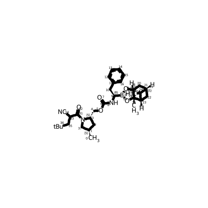 C[C@H]1C[C@@H](COC(=O)N[C@@H](Cc2ccccc2)B2O[C@@H]3C[C@@H]4C[C@@H](C4(C)C)[C@]3(C)O2)N(C(=O)C(C#N)CC(C)(C)C)C1